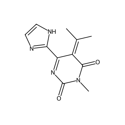 CC(C)=C1C(=O)N(C)C(=O)N=C1c1ncc[nH]1